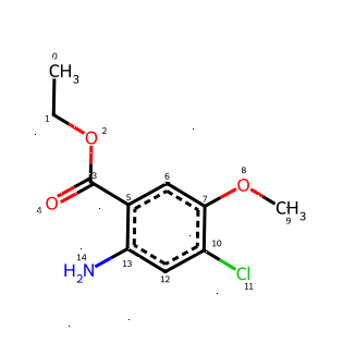 CCOC(=O)c1cc(OC)c(Cl)cc1N